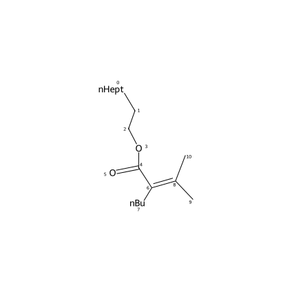 CCCCCCCCCOC(=O)C(CCCC)=C(C)C